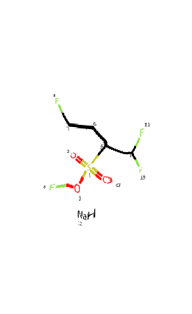 O=S(=O)(OF)C(CCF)C(F)F.[NaH]